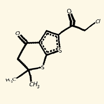 CC1(C)CC(=O)c2cc(C(=O)CCl)sc2S1